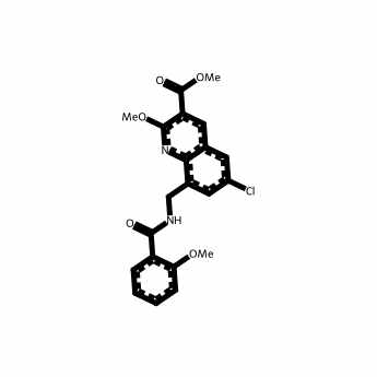 COC(=O)c1cc2cc(Cl)cc(CNC(=O)c3ccccc3OC)c2nc1OC